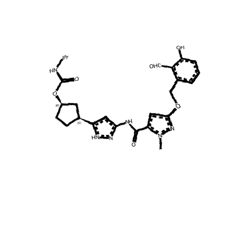 CC(C)NC(=O)O[C@@H]1CC[C@H](c2cc(NC(=O)c3cc(OCc4cccc(O)c4C=O)nn3C)n[nH]2)C1